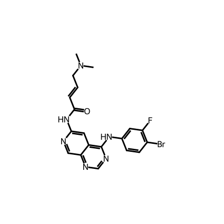 CN(C)CC=CC(=O)Nc1cc2c(Nc3ccc(Br)c(F)c3)ncnc2cn1